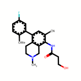 COc1ccc(F)cc1-c1cc(C#N)c(NC(=O)CCO)c2c1CCN(C)C2